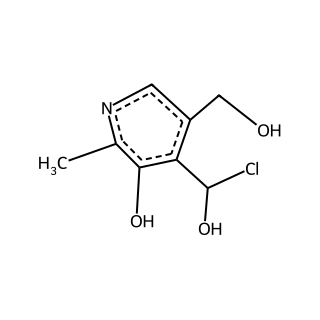 Cc1ncc(CO)c(C(O)Cl)c1O